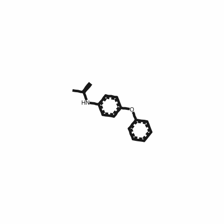 C=C(C)Nc1ccc(Oc2ccccc2)cc1